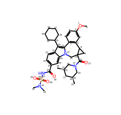 COc1ccc2c(c1)C1CC1(C(=O)N1C[C@H](C)C[C@H](C)C1)Cn1c-2c(C2CCCCC2)c2ccc(C(=O)NS(=O)(=O)N(C)C)cc21